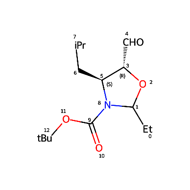 CCC1O[C@@H](C=O)[C@H](CC(C)C)N1C(=O)OC(C)(C)C